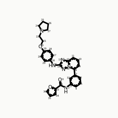 O=C(Nc1cccc(-c2cccc3nc(Nc4ccc(OCCN5CCCC5)cc4)nn23)c1)c1ccco1